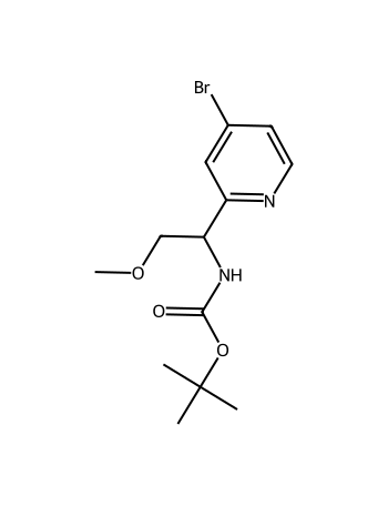 COCC(NC(=O)OC(C)(C)C)c1cc(Br)ccn1